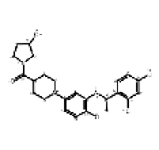 C[C@@H](Nc1cc(N2CCC(C(=O)N3CCC(O)C3)CC2)ccc1Cl)c1ccc(Cl)cc1Cl